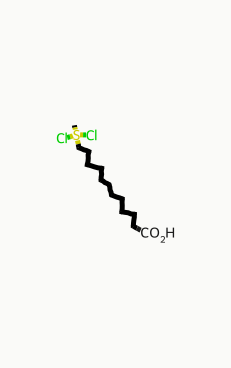 CS(Cl)(Cl)CCCCCCCCCCCC(=O)O